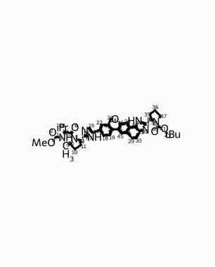 COC(=O)N[C@H](C(=O)N1[C@@H](C)CC[C@H]1c1ncc(-c2ccc3c(c2)COc2cc4c(ccc5nc([C@@H]6CCCN6C(=O)OC(C)(C)C)[nH]c54)cc2-3)[nH]1)C(C)C